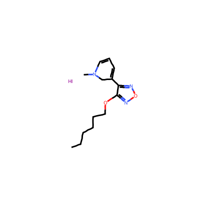 CCCCCCOc1nonc1C1=CC=CN(C)C1.I